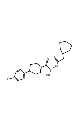 CC[C@@H](C)[C@@H](NC(=O)CC1CCCCC1)C(=O)N1CCC(c2ccc(Cl)cc2)CC1